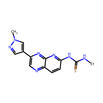 CCNC(=S)Nc1ccc2ncc(-c3cnn(C)c3)nc2n1